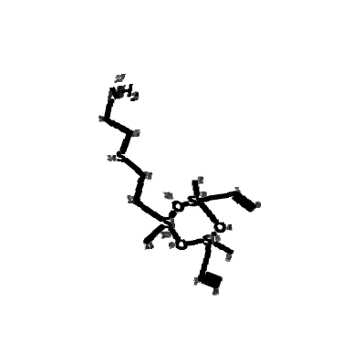 C=C[Si]1(C)O[Si](C)(C=C)O[Si](C)(CCSCCN)O1